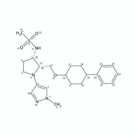 Cn1cc(N2CC[C@H](NS(C)(=O)=O)[C@@H]2COC2CCC(c3ccccc3)CC2)cn1